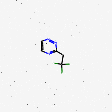 FC(F)(F)Cc1n[c]cnn1